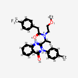 CCOCCN(C(=O)Cc1ccc(C(F)(F)F)cc1)C(C)c1nc2ccccc2c(=O)n1-c1ccc(CC)cc1